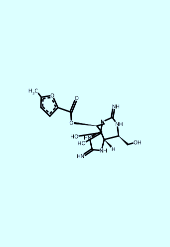 Cc1ccc(C(=O)O[C@H]2CN3C(=N)N[C@@H](CO)[C@@H]4NC(=N)N[C@@]43C2(O)O)o1